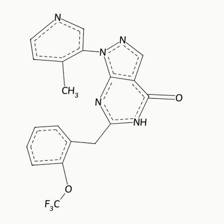 Cc1ccncc1-n1ncc2c(=O)[nH]c(Cc3ccccc3OC(F)(F)F)nc21